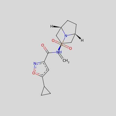 C=CS(=O)(=O)N1[C@@H]2CC[C@H]1C[C@H](NC(=O)c1cc(C3CC3)on1)C2